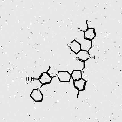 Nc1cc(F)c(N2CCC3(CC2)C[C@@H](CC(=O)N[C@H](Cc2ccc(F)c(F)c2)C2CCOCC2)c2ccc(F)cc23)cc1N1CCCCC1